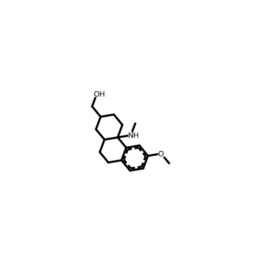 CNC12CCC(CO)CC1CCc1ccc(OC)cc12